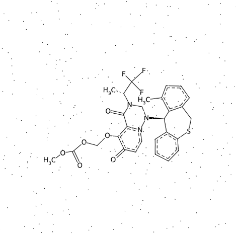 COC(=O)OCOc1c2n(ccc1=O)N([C@@H]1c3ccccc3SCc3cccc(C)c31)CN([C@H](C)C(F)(F)F)C2=O